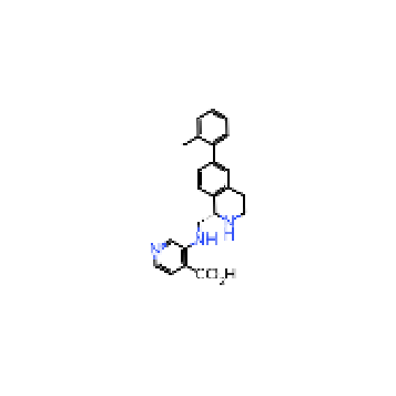 Cc1ccccc1-c1ccc2c(c1)CCN[C@@H]2CNc1cnccc1C(=O)O